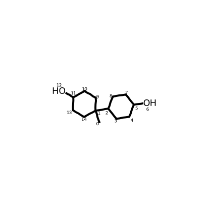 CC1(C2CCC(O)CC2)CCC(O)CC1